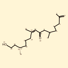 C=C(C)CCCC(C)CC(=O)C=C(C)CCC[C@H](C)CCO